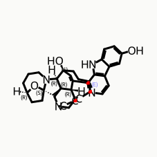 Oc1ccc2[nH]c3c(C4=C[C@@]5(O)CC/C=C/CCCCN6CC[C@@H]4[C@@]4(C6)C[C@@]67CC[C@@H](CCCN6[C@H]45)O7)nccc3c2c1